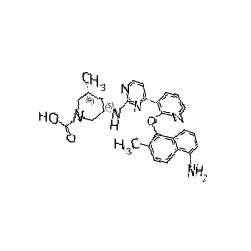 Cc1ccc2c(N)cccc2c1Oc1ncccc1-c1ccnc(N[C@H]2C[C@@H](C)CN(C(=O)O)C2)n1